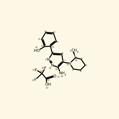 C[C@H]1CCCCN1c1cc(-c2ccccc2O)nnc1N.O=C(O)C(F)(F)F